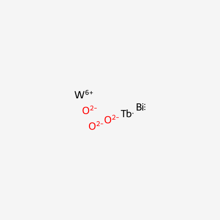 [Bi].[O-2].[O-2].[O-2].[Tb].[W+6]